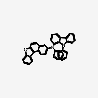 c1ccc(N(c2ccc3c(ccc4oc5ccccc5c43)c2)c2cccc3c4ccccc4n(-c4ccccc4)c23)cc1